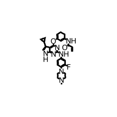 C=CC(=O)NC1=CC(Oc2nc(Nc3ccc(N4CCN(C)CC4)c(F)c3)nc3[nH]cc(C4CC4)c23)=CCC1